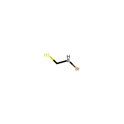 SCBBr